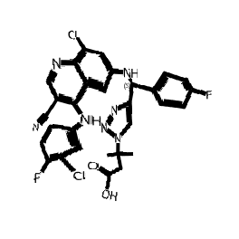 CC(C)(CC(=O)O)n1cc([C@@H](Nc2cc(Cl)c3ncc(C#N)c(Nc4ccc(F)c(Cl)c4)c3c2)c2ccc(F)cc2)nn1